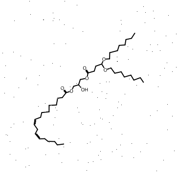 CCCCC/C=C\C/C=C\CCCCCCCC(=O)OCC(O)COC(=O)CCC(OCCCCCCCC)OCCCCCCCC